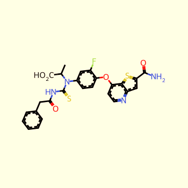 CC(C(=O)O)N(C(=S)NC(=O)Cc1ccccc1)c1ccc(Oc2ccnc3cc(C(N)=O)sc23)c(F)c1